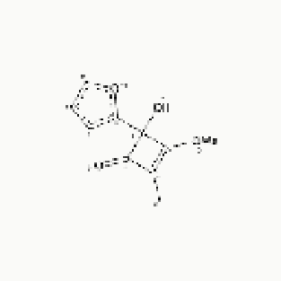 COC1=C(C)C(=O)C1(O)c1ccco1